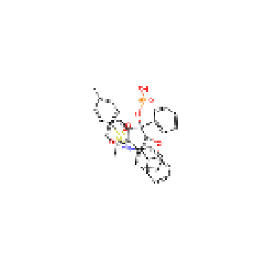 Cc1ccc(S(=O)(=O)Nc2c(C(O[PH](=O)O)(c3ccccc3)c3cccc(C)c3-c3ccccc3)oc3ccccc23)cc1